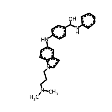 CN(C)CCCn1ccc2cc(Nc3ccc(C(O)Nc4ccccc4)cc3)ccc21